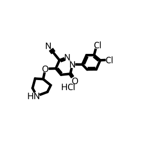 Cl.N#Cc1nn(-c2ccc(Cl)c(Cl)c2)c(=O)cc1OC1CCNCC1